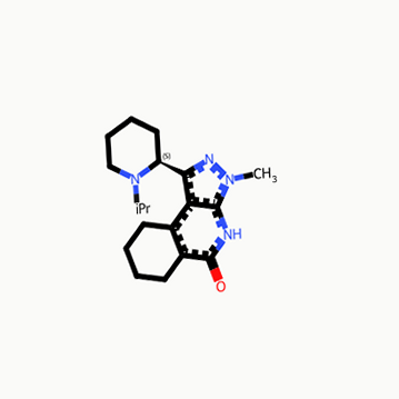 CC(C)N1CCCC[C@H]1c1nn(C)c2[nH]c(=O)c3c(c12)CCCC3